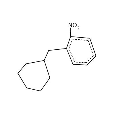 O=[N+]([O-])c1ccccc1C[C]1CCCCC1